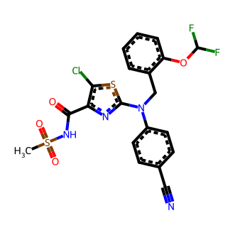 CS(=O)(=O)NC(=O)c1nc(N(Cc2ccccc2OC(F)F)c2ccc(C#N)cc2)sc1Cl